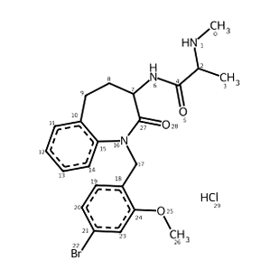 CNC(C)C(=O)NC1CCc2ccccc2N(Cc2ccc(Br)cc2OC)C1=O.Cl